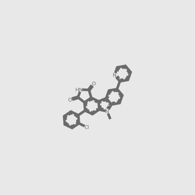 Cn1c2ccc(-c3ccccn3)cc2c2c3c(c(-c4ccccc4Cl)cc21)C(=O)NC3=O